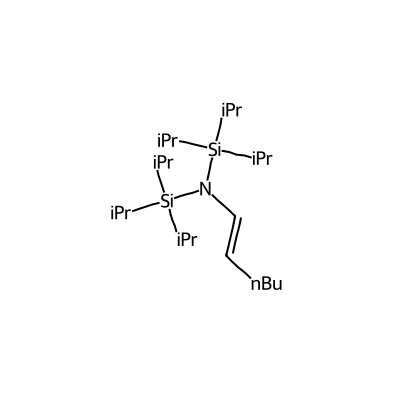 CCCCC=CN([Si](C(C)C)(C(C)C)C(C)C)[Si](C(C)C)(C(C)C)C(C)C